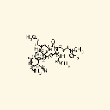 CCCN1C[C@H](C(=O)N(CCCN(C)C)C(=O)NCC)C[C@@H]2Cc3c(cnc(N)c3C#N)C[C@H]21